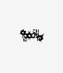 Cc1ccnc2c1nc(CO)n2Cc1ccc(-c2ccccc2)c(C(=O)O)c1